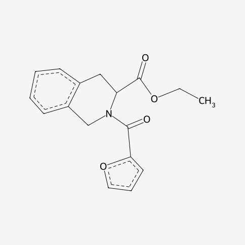 CCOC(=O)C1Cc2ccccc2CN1C(=O)c1ccco1